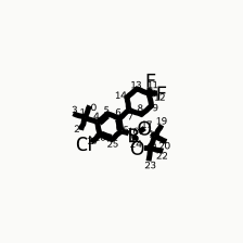 CC(C)(C)c1cc(C2CCC(F)(F)CC2)c(B2OC(C)(C)C(C)(C)O2)cc1Cl